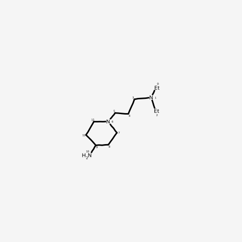 CCN(CC)CCCN1CCC(N)CC1